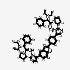 CCN(CC)[C@@H](C(=O)N1CCC[C@H]1c1ncc(-c2ccc(-c3cc4cc(-c5cnc([C@@H]6CCCN6C(=O)[C@@H](c6ccccc6)N(CC)CC)[nH]5)ccc4o3)cc2)[nH]1)c1ccccc1